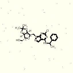 CC(Nc1nc(Cl)nc2c1cnn2C[C@H]1O[C@H](CO)[C@H]2OC(C)(C)O[C@H]21)c1ccccc1